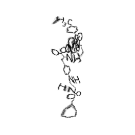 COC(=O)[C@H](Cc1ccc(NCCNC(=O)OCc2ccccc2)cc1)NC(=O)[C@@H]1CCCN1S(=O)(=O)c1ccc(C)cc1